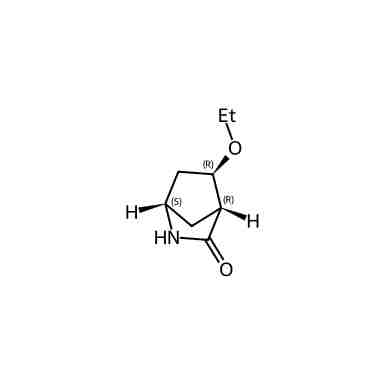 CCO[C@@H]1C[C@@H]2C[C@H]1C(=O)N2